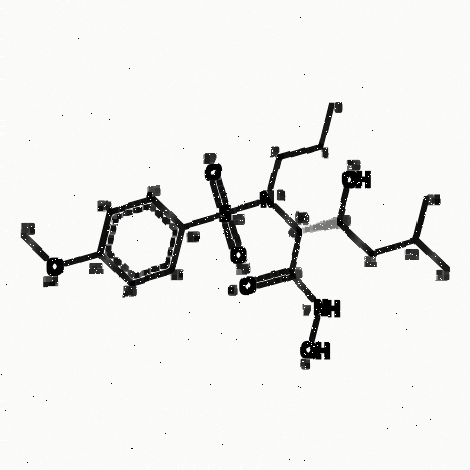 CCCN([C@@H](C(=O)NO)C(O)CC(C)C)S(=O)(=O)c1ccc(OC)cc1